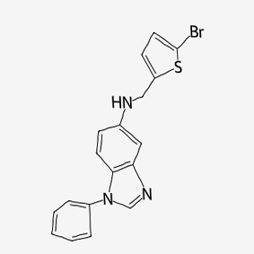 Brc1ccc(CNc2ccc3c(c2)ncn3-c2ccccc2)s1